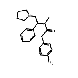 CN(C(=O)Cc1ccc(C(F)(F)F)cc1)C(CN1CCCC1)c1ccccc1